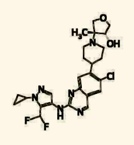 C[C@@]1(N2CCC(c3cc4nc(Nc5cnn(C6CC6)c5C(F)F)ncc4cc3Cl)CC2)COC[C@@H]1O